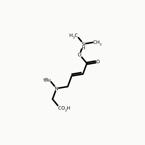 C[SiH](C)OC(=O)C=CCN(CC(=O)O)C(C)(C)C